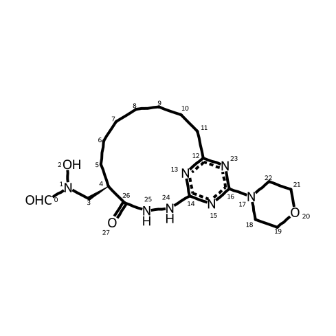 O=CN(O)C[C@H]1CCCCCCCc2nc(nc(N3CCOCC3)n2)NNC1=O